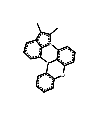 Cc1c(C)n2c3c(cccc13)B1c3ccccc3Oc3cccc-2c31